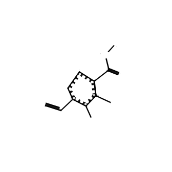 C=Cc1ccc(C(=O)OC)c(C)c1O